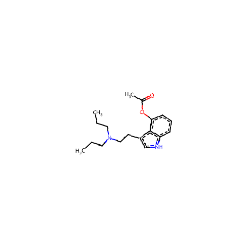 CCCN(CCC)CCc1c[nH]c2cccc(OC(C)=O)c12